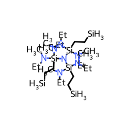 CCN(C)[Si](CC[SiH3])(N(C)CC)N([Si](CC[SiH3])(N(C)CC)N(C)CC)[Si](CC[SiH3])(N(C)CC)N(C)CC